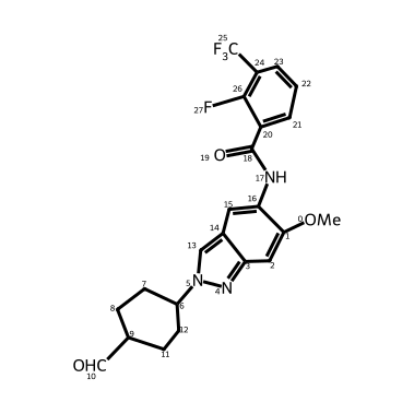 COc1cc2nn(C3CCC(C=O)CC3)cc2cc1NC(=O)c1cccc(C(F)(F)F)c1F